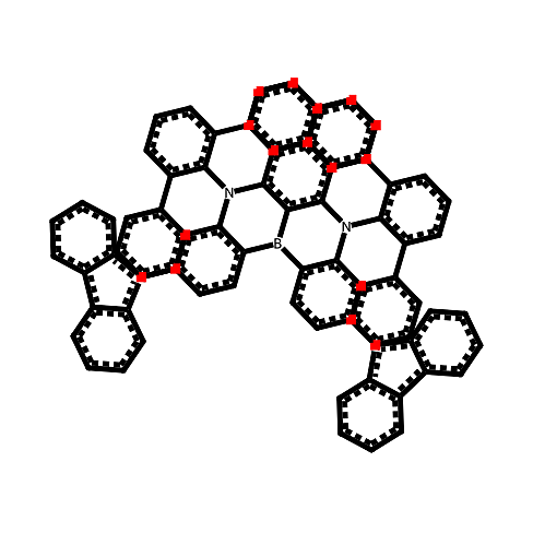 c1ccc(-c2cccc(-c3ccccc3)c2N2c3cc(-n4c5ccccc5c5ccccc54)ccc3B3c4ccc(-n5c6ccccc6c6ccccc65)cc4N(c4c(-c5ccccc5)cccc4-c4ccccc4)c4c5c6c(c2c43)CCCN6CCC5)cc1